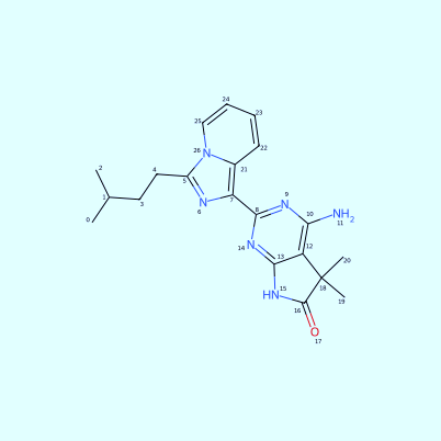 CC(C)CCc1nc(-c2nc(N)c3c(n2)NC(=O)C3(C)C)c2ccccn12